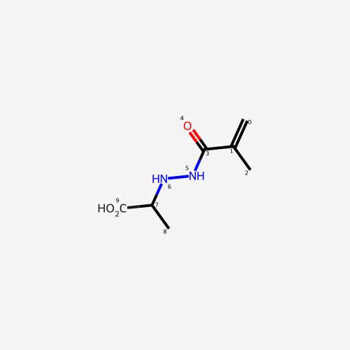 C=C(C)C(=O)NNC(C)C(=O)O